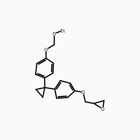 CCOCOc1ccc(C2(c3ccc(OCC4CO4)cc3)CC2)cc1